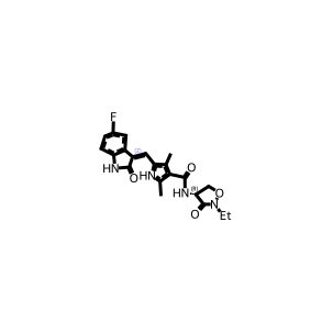 CCN1OC[C@@H](NC(=O)c2c(C)[nH]c(/C=C3\C(=O)Nc4ccc(F)cc43)c2C)C1=O